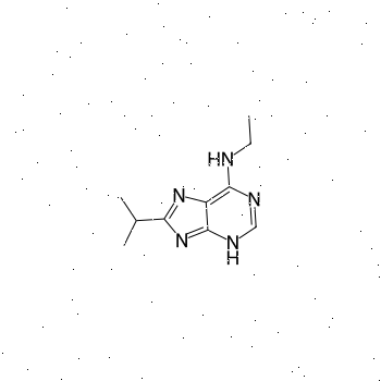 CCNc1nc[nH]c2nc(C(C)C)nc1-2